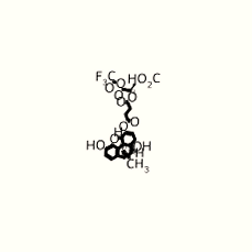 CN1CC[C@]23c4c5ccc(O)c4O[C@H]2C(OC(=O)CCC(=O)O[C@H](CC(=O)O)C(=O)OC(=O)C(F)(F)F)=CC[C@@]3(O)[C@H]1C5